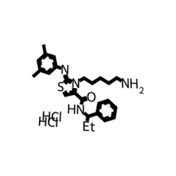 CCC(NC(=O)c1csc(=Nc2cc(C)cc(C)c2)n1CCCCCN)c1ccccc1.Cl.Cl